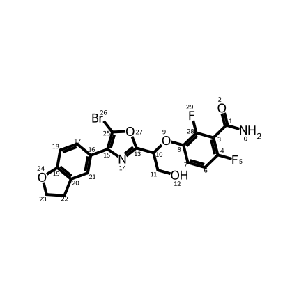 NC(=O)c1c(F)ccc(OC(CO)c2nc(-c3ccc4c(c3)CCO4)c(Br)o2)c1F